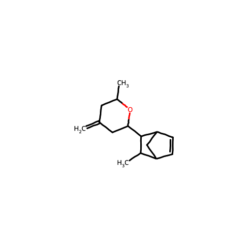 C=C1CC(C)OC(C2C3C=CC(C3)C2C)C1